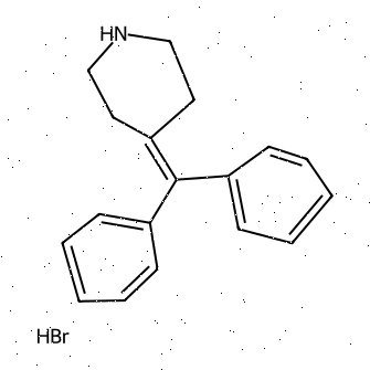 Br.c1ccc(C(=C2CCNCC2)c2ccccc2)cc1